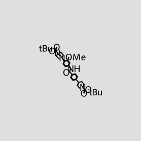 COc1cc(NC(=O)c2ccc(C3=CCN(C(=O)OC(C)(C)C)CC3)cc2)ccc1N1CCN(C(=O)OC(C)(C)C)CC1